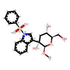 CCO[C@@H]1O[C@H](CO)[C@@H](O)C[C@]1(O)c1cn(S(=O)(=O)c2ccccc2)c2ccccc12